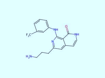 NCCCc1cc2cc[nH]c(=O)c2c(Nc2cccc(C(F)(F)F)c2)n1